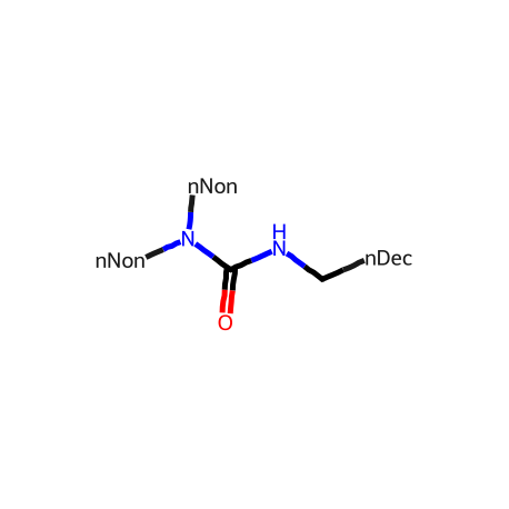 CCCCCCCCCCCNC(=O)N(CCCCCCCCC)CCCCCCCCC